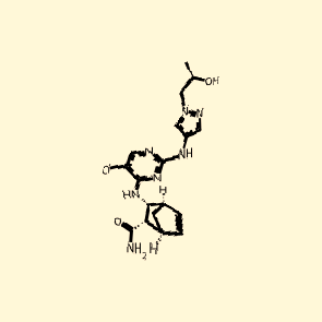 C[C@@H](O)Cn1cc(Nc2ncc(Cl)c(N[C@H]3[C@@H](C(N)=O)[C@@H]4C=C[C@H]3C4)n2)cn1